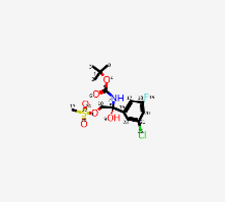 CC(C)(C)OC(=O)N[C@@](O)(COS(C)(=O)=O)c1cc(F)cc(Cl)c1